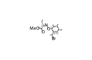 COC(=O)C(C)=NOc1ccccc1CBr